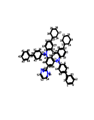 c1ccc(-c2ccc(N3c4ccc(C5CCCCC5)cc4B4c5cc(C6CCCCC6)ccc5N(c5ccc(-c6ccccc6)cc5)c5cc(-c6ncccn6)cc3c54)cc2)cc1